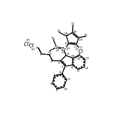 CCCCC1=C(c2ccccc2)c2cccc(Cl)c2[CH]1[Zr+2]([C]1=C(C)C(C)=C(C)C1C)=[Si](C)C.[Cl-].[Cl-]